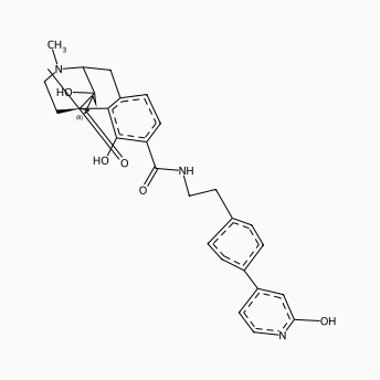 CN1CC[C@]23CC(=O)CCC2(O)C1Cc1ccc(C(=O)NCCc2ccc(-c4ccnc(O)c4)cc2)c(O)c13